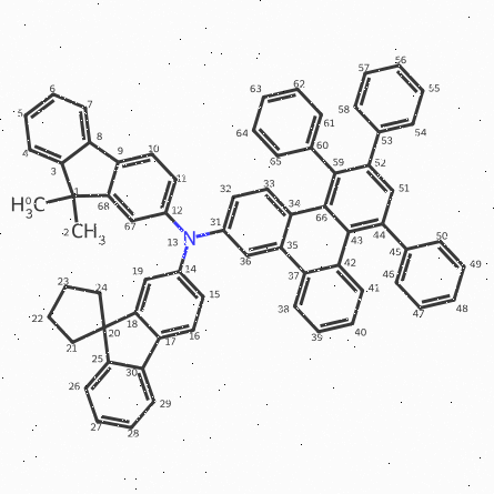 CC1(C)c2ccccc2-c2ccc(N(c3ccc4c(c3)C3(CCCC3)c3ccccc3-4)c3ccc4c(c3)c3ccccc3c3c(-c5ccccc5)cc(-c5ccccc5)c(-c5ccccc5)c43)cc21